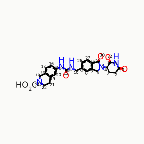 O=C1CCC(N2Cc3cc(CNC(=O)Nc4ccc5c(c4)CCN(C(=O)O)C5)ccc3C2=O)C(=O)N1